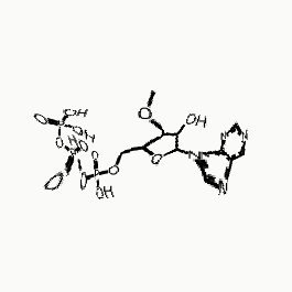 COC1C(COP(=O)(O)OP(=O)(O)OP(=O)(O)O)OC(n2cnc3cncnc32)C1O